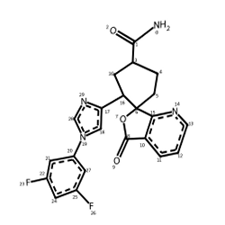 NC(=O)C1CCC2(OC(=O)c3cccnc32)C(c2cn(-c3cc(F)cc(F)c3)cn2)C1